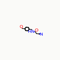 N#CCC(=O)NCc1ccc(C=O)cc1